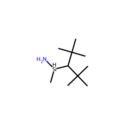 C[SiH](N)C(C(C)(C)C)C(C)(C)C